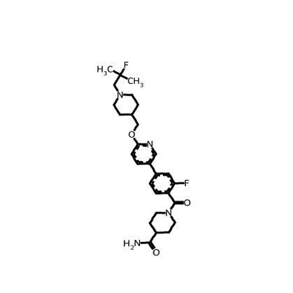 CC(C)(F)CN1CCC(COc2ccc(-c3ccc(C(=O)N4CCC(C(N)=O)CC4)c(F)c3)cn2)CC1